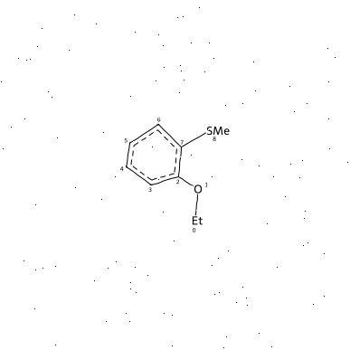 [CH2]COc1ccccc1SC